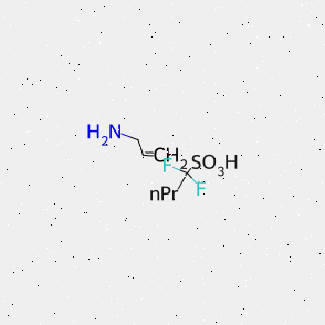 C=CCN.CCCC(F)(F)S(=O)(=O)O